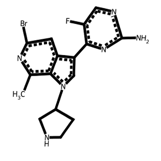 Cc1nc(Br)cc2c(-c3nc(N)ncc3F)cn(C3CCNC3)c12